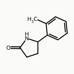 Cc1ccccc1C1CCC(=O)N1